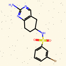 Nc1ncc2c(n1)CCC(NS(=O)(=O)c1cccc(Br)c1)C2